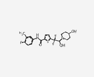 Cc1cc(NC(=O)c2ccc(C(F)(F)C(O)N3CCC(O)CC3)s2)ccc1F